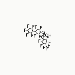 OB(Oc1c(F)c(F)c(-c2c(F)c(F)c(F)c(F)c2F)c(F)c1F)Oc1c(F)c(F)c(C(F)(F)F)c(F)c1F